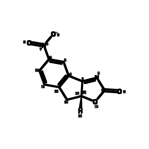 O=C1N=C2c3cc([N+](=O)[O-])ccc3C[C@@H]2O1